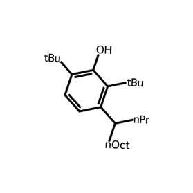 CCCCCCCCC(CCC)c1ccc(C(C)(C)C)c(O)c1C(C)(C)C